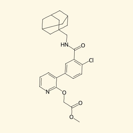 COC(=O)COc1ncccc1-c1ccc(Cl)c(C(=O)NCC23CC4CC(CC(C4)C2)C3)c1